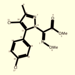 CON=C(C(=O)OC)n1nc(C)c(Cl)c1-c1ccc(Cl)cc1